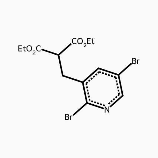 CCOC(=O)C(Cc1cc(Br)cnc1Br)C(=O)OCC